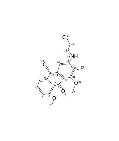 COc1cccc2c1C(=O)c1c(cc(NCCCl)c(C)c1OC)C2=O